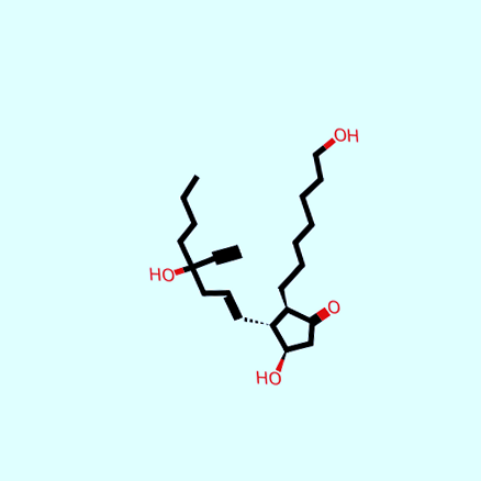 C#CC(O)(C/C=C/[C@H]1[C@H](O)CC(=O)[C@@H]1CCCCCCCO)CCCC